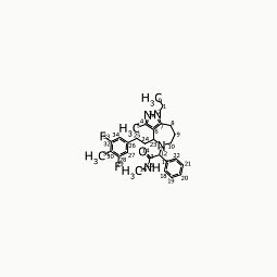 CCn1nc(C)c2c1CCCN(C(C(=O)NC)c1ccccc1)C2CCc1cc(F)c(C)c(F)c1